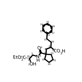 CCOC(=O)[C@@H](O)CNC(=O)C1(CC(CCc2ccccc2)C(=O)O)CCCC1